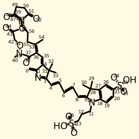 C=C1N=C(/C=C/C=C/C=C2/N(CCCS(=O)(=O)O)c3ccc(S(=O)(=O)O)cc3C2(C)C)C(C)(C)/C1=C/C(C(=O)N(C)OCC(=O)ON1C(=O)CCC1=O)=C(\C)CCCCC